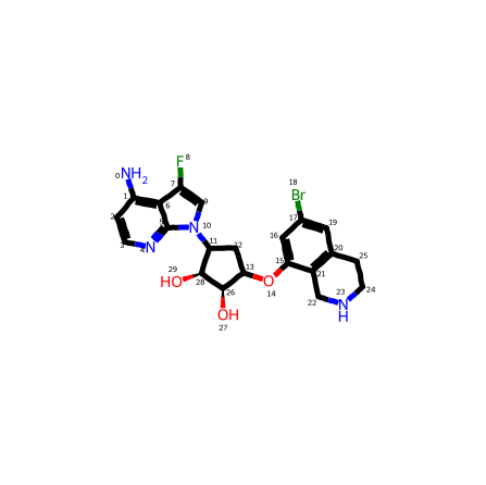 Nc1ccnc2c1c(F)cn2C1CC(Oc2cc(Br)cc3c2CNCC3)[C@@H](O)[C@H]1O